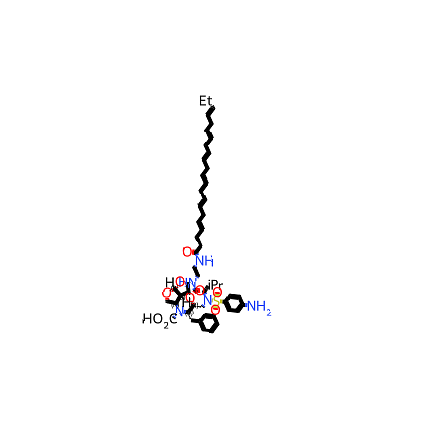 CCC=CCC=CCC=CCC=CCC=CCC=CCCC(=O)NCCNC(=O)O[C@H](CN(CC(C)C)S(=O)(=O)c1ccc(N)cc1)[C@H](Cc1ccccc1)N(C(=O)O)[C@H]1CO[C@H]2OCC[C@H]21